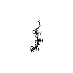 CCCC/C=C\CCCC(C)(C)C(=O)NCCOCCNC(=O)CC(C)(C)COCCNC(=O)OC(C)(C)C